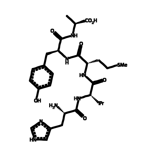 CSCC[C@H](NC(=O)[C@@H](NC(=O)[C@@H](N)Cc1c[nH]cn1)C(C)C)C(=O)N[C@@H](Cc1ccc(O)cc1)C(=O)N[C@@H](C)C(=O)O